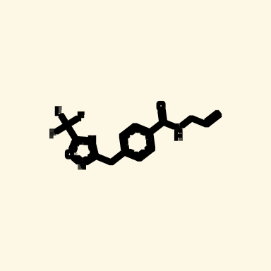 C=CCNC(=O)c1ccc(Cc2noc(C(F)(F)F)n2)cc1